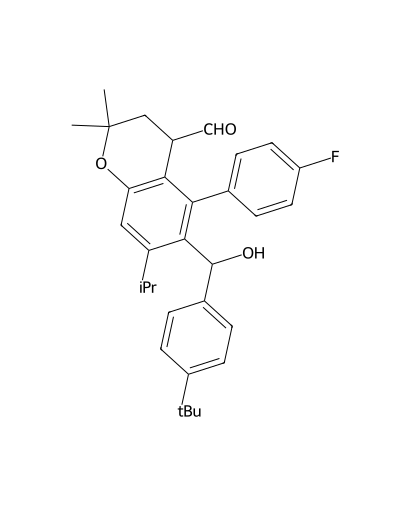 CC(C)c1cc2c(c(-c3ccc(F)cc3)c1C(O)c1ccc(C(C)(C)C)cc1)C(C=O)CC(C)(C)O2